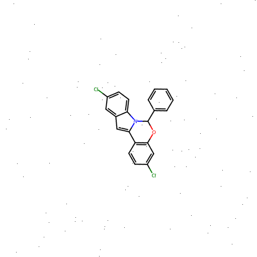 Clc1ccc2c(c1)OC(c1ccccc1)n1c-2cc2cc(Cl)ccc21